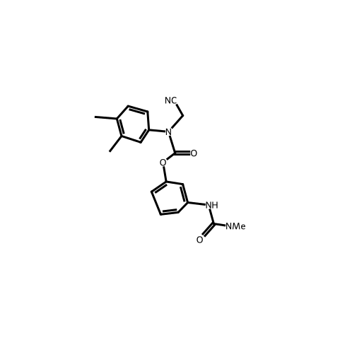 CNC(=O)Nc1cccc(OC(=O)N(CC#N)c2ccc(C)c(C)c2)c1